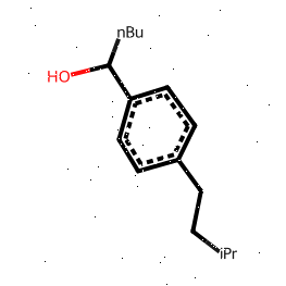 CCCCC(O)c1ccc(CCC(C)C)cc1